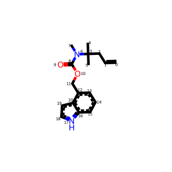 C=CCC(C)(C)N(C)C(=O)OCc1cccc2[nH]ccc12